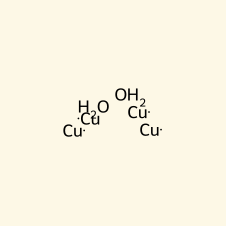 O.O.[Cu].[Cu].[Cu].[Cu]